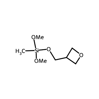 CO[Si](C)(OC)OCC1COC1